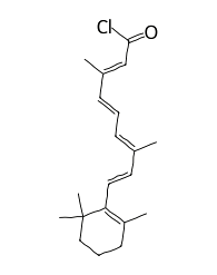 CC(C=CC1=C(C)CCCC1(C)C)=CC=CC(C)=CC(=O)Cl